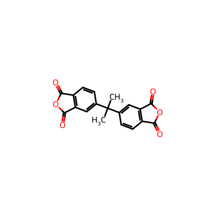 CC(C)(c1ccc2c(c1)C(=O)OC2=O)c1ccc2c(c1)C(=O)OC2=O